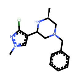 C[C@H]1CN(Cc2ccccc2)CC(c2cn(C)nc2Cl)N1